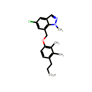 Cc1c(CCC(=O)O)ccc(OCc2cc(Cl)cc3cnn(C)c23)c1C